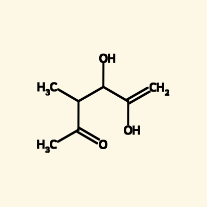 C=C(O)C(O)C(C)C(C)=O